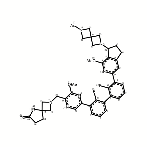 COc1nc(-c2cccc(-c3cccc(-c4cc5c(c(OC)n4)C(N4CC6(CN(C(C)=O)C6)C4)CC5)c3F)c2F)cnc1CN1CC2(CCC(=O)N2)C1